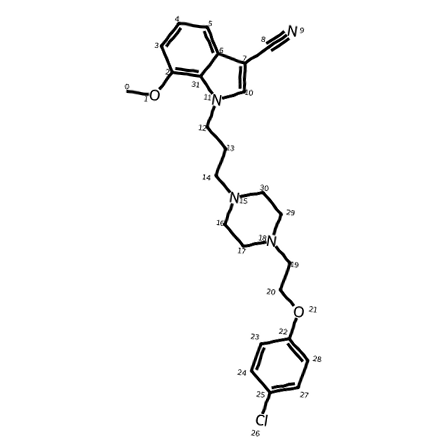 COc1cccc2c(C#N)cn(CCCN3CCN(CCOc4ccc(Cl)cc4)CC3)c12